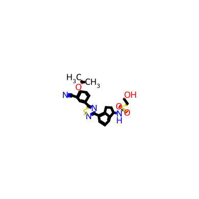 CC(C)Oc1ccc(-c2nc(-c3cccc4c3CCC4NS(=O)(=O)CCO)ns2)cc1C#N